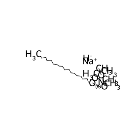 CCCCCCCCCCCCCCCCCCOC[C@@H]1COC(C)(C)N1C(=O)OC(C)(C)C.[H-].[Na+]